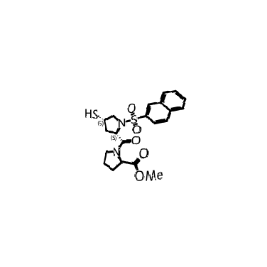 COC(=O)C1CCCN1C(=O)[C@@H]1C[C@H](S)CN1S(=O)(=O)c1ccc2ccccc2c1